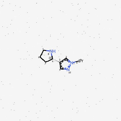 CC(C)n1cc([C@@H]2CCCN2)cn1